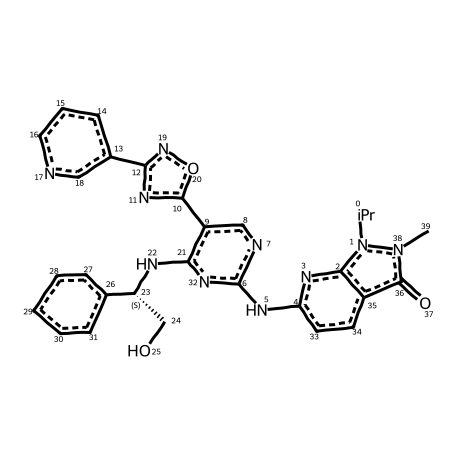 CC(C)n1c2nc(Nc3ncc(-c4nc(-c5cccnc5)no4)c(N[C@H](CO)c4ccccc4)n3)ccc2c(=O)n1C